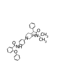 CC(C)NC(=O)C(c1ccccc1)C1CCN(c2ccc(NC(=O)c3ccccc3Oc3ccccc3)cc2)CC1